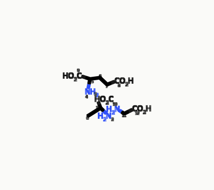 CC(N)C(=O)O.NC(CCC(=O)O)C(=O)O.NCC(=O)O